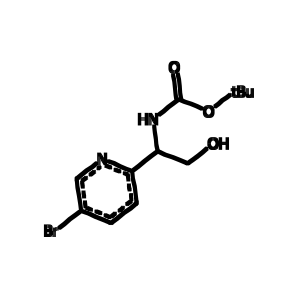 CC(C)(C)OC(=O)NC(CO)c1ccc(Br)cn1